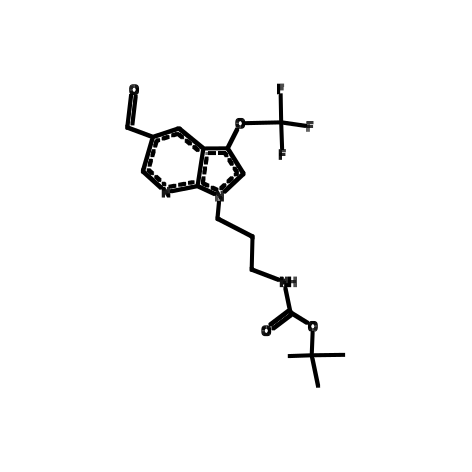 CC(C)(C)OC(=O)NCCCn1cc(OC(F)(F)F)c2cc(C=O)cnc21